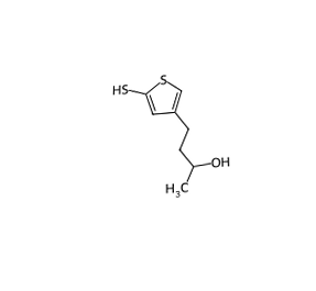 CC(O)CCc1csc(S)c1